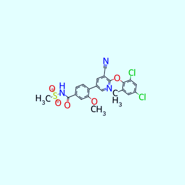 COc1cc(C(=O)NS(C)(=O)=O)ccc1-c1cnc(Oc2c(C)cc(Cl)cc2Cl)c(C#N)c1